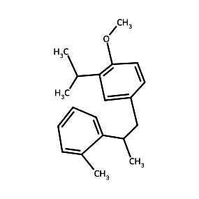 COc1ccc(CC(C)c2ccccc2C)cc1C(C)C